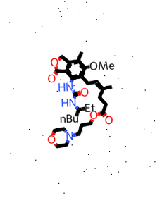 CCCCC(CC)NC(=O)Nc1c(CC=C(C)CCC(=O)OCCCN2CCOCC2)c(OC)c(C)c2c1C(=O)OC2